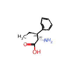 CC[C@@H](c1ccccc1)[C@H](N)C(=O)O